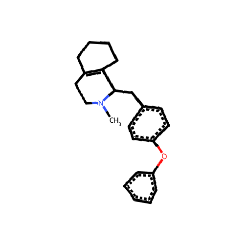 CN1CCC2=C(CCCC2)C1Cc1ccc(Oc2ccccc2)cc1